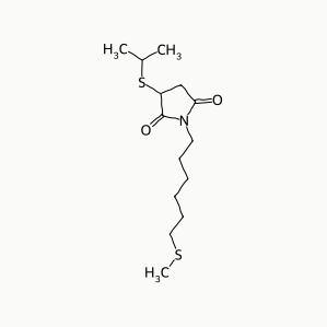 CSCCCCCCN1C(=O)CC(SC(C)C)C1=O